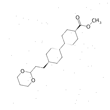 COC(=O)[C@H]1CC[C@H]([C@H]2CC[C@H](CCC3OCCCO3)CC2)CC1